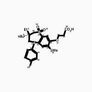 CCCC[C@@]1(CC)CN(c2ccc(F)cc2)c2cc(SC)c(OCCC(=O)O)cc2S(=O)(=O)C1